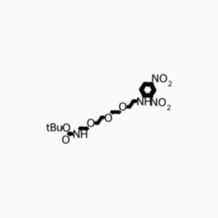 CC(C)(C)OC(=O)NCCOCCOCCOCCNc1ccc([N+](=O)[O-])cc1[N+](=O)[O-]